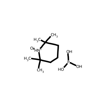 CC1(C)CCCC(C)(C)[NH+]1[O-].OP(O)O